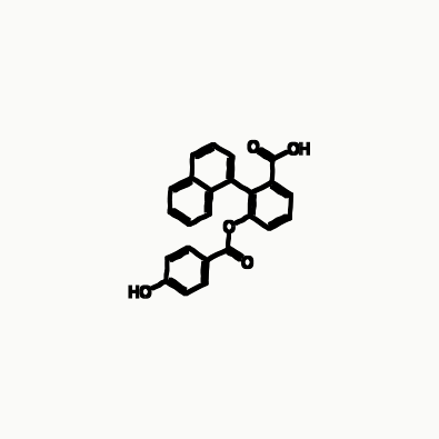 O=C(Oc1cccc(C(=O)O)c1-c1cccc2ccccc12)c1ccc(O)cc1